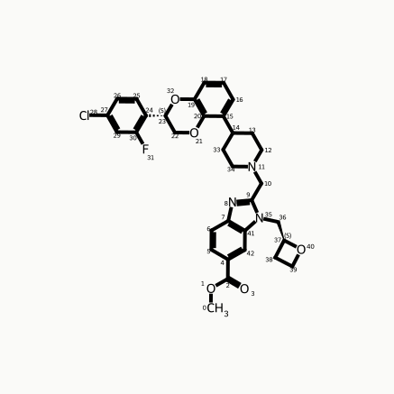 COC(=O)c1ccc2nc(CN3CCC(c4cccc5c4OC[C@H](c4ccc(Cl)cc4F)O5)CC3)n(C[C@@H]3CCO3)c2c1